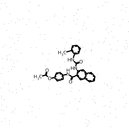 CC(=O)Oc1ccc(NC(=O)c2cc3ccccc3cc2NC(=O)Nc2ccccc2C)cc1